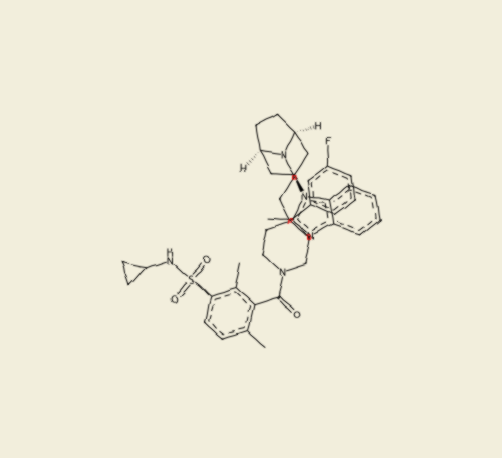 Cc1ccc(S(=O)(=O)NC2CC2)c(C)c1C(=O)N1CCC(CCN2[C@@H]3CC[C@H]2C[C@@H](n2c(C)nc4ccccc42)C3)(c2cccc(F)c2)CC1